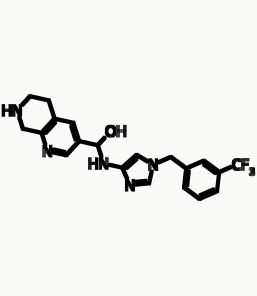 OC(Nc1cn(Cc2cccc(C(F)(F)F)c2)cn1)c1cnc2c(c1)CCNC2